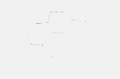 NC1CCCC2CCC(O)CC12